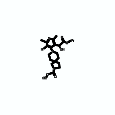 Cc1nc(C)c([C@H](O)C(=O)OC(C)C)c(N2CCC3(CCN(C(=O)OC(C)(C)C)C3)CC2)c1Br